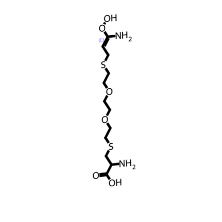 N/C(=C\CSCCOCCOCCSCC(N)C(=O)O)OO